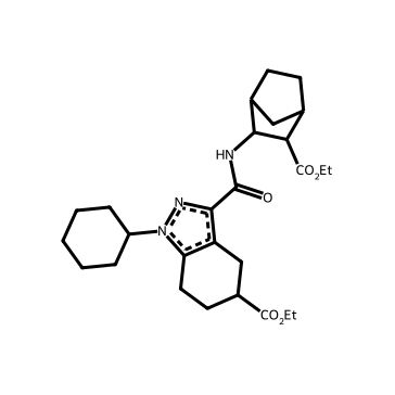 CCOC(=O)C1CCc2c(c(C(=O)NC3C4CCC(C4)C3C(=O)OCC)nn2C2CCCCC2)C1